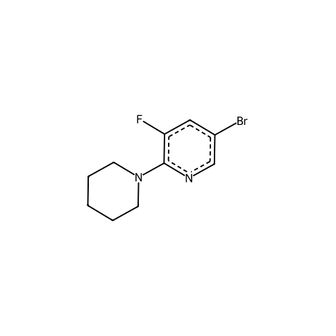 Fc1cc(Br)cnc1N1CCCCC1